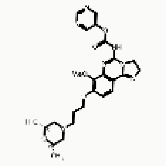 COc1c(OCCCN2C[C@@H](C)O[C@@H](C)C2)ccc2c1N=C(NC(=O)Oc1cncnc1)N1CCN=C21